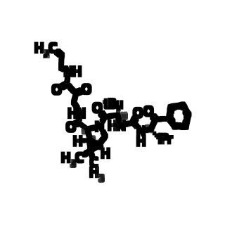 C=CCNC(=O)C(=O)CNC(=O)[C@@H]1[C@@H]2[C@H](CN1C(=O)[C@@H](NC(=O)N[C@H](C(=O)c1ccccc1)C(C)C)C(C)(C)C)C2(C)C